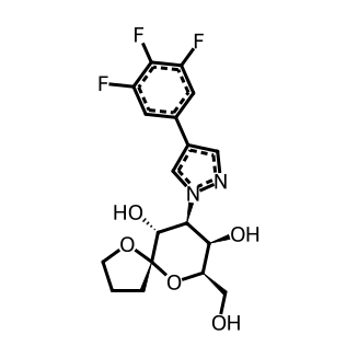 OC[C@H]1O[C@@]2(CCCO2)[C@H](O)[C@@H](n2cc(-c3cc(F)c(F)c(F)c3)cn2)[C@H]1O